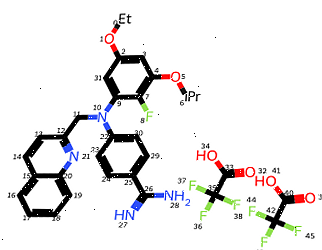 CCOc1cc(OC(C)C)c(F)c(N(Cc2ccc3ccccc3n2)c2ccc(C(=N)N)cc2)c1.O=C(O)C(F)(F)F.O=C(O)C(F)(F)F